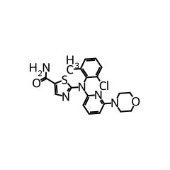 Cc1cccc(Cl)c1N(c1cccc(N2CCOCC2)n1)c1ncc(C(N)=O)s1